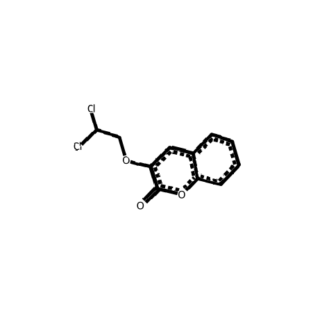 O=c1oc2ccccc2cc1OCC(Cl)Cl